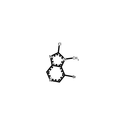 Cn1c(Cl)nc2cncc(Br)c21